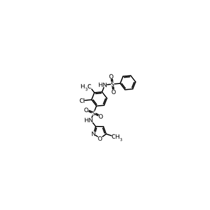 Cc1cc(NS(=O)(=O)c2ccc(NS(=O)(=O)c3ccccc3)c(C)c2Cl)no1